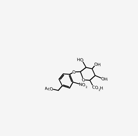 CC(=O)OCc1ccc(OC2OC(C(=O)O)C(O)C(O)C2O)c([N+](=O)[O-])c1